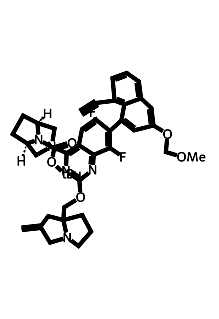 C#Cc1cccc2cc(OCOC)cc(-c3c(F)cc4c(N5C[C@H]6CC[C@@H](C5)N6C(=O)OC(C)(C)C)nc(OCC56CCCN5CC(=C)C6)nc4c3F)c12